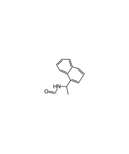 CC(N[C]=O)c1cccc2ccccc12